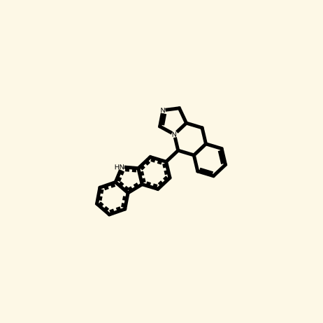 [c]1c(C2C3C=CC=CC3CC3CN=CN32)ccc2c1[nH]c1ccccc12